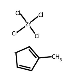 CC1=C[CH]C=C1.[Cl][Zr]([Cl])([Cl])[Cl]